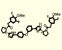 COc1c(F)cc(CC(=O)N2CCC[C@H]2c2nc(-c3cccc(Oc4ccc(-c5cnc([C@@H]6CCCN6C(=O)Cc6cc(F)c(OC)c(F)c6)[nH]5)cc4)c3)c[nH]2)cc1F